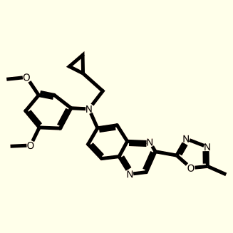 COc1cc(OC)cc(N(CC2CC2)c2ccc3ncc(-c4nnc(C)o4)nc3c2)c1